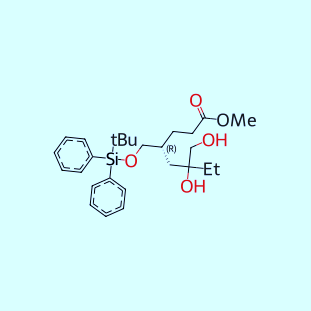 CCC(O)(CO)C[C@@H](CCC(=O)OC)CO[Si](c1ccccc1)(c1ccccc1)C(C)(C)C